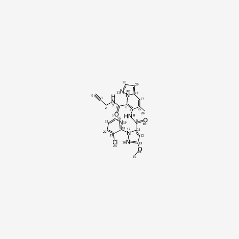 C#CCNC(=O)c1c(NC(=O)c2cc(OC)nn2-c2ncccc2Cl)c(C)cc2ccnn12